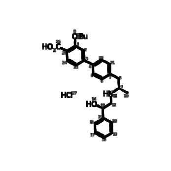 CC(C)COc1cc(-c2ccc(C[C@@H](C)NC[C@H](O)c3ccccc3)cc2)ccc1C(=O)O.Cl